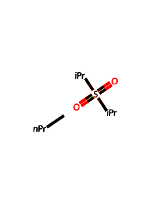 CC(C)S(=O)(=O)C(C)C.CCCC